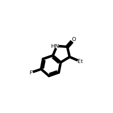 CCC1C(=O)Nc2cc(F)ccc21